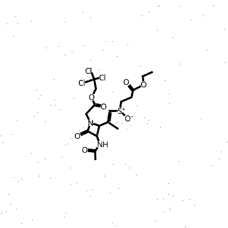 CCOC(=O)CC[S+]([O-])C=C(C)C1C(NC(C)=O)C(=O)N1CC(=O)OCC(Cl)(Cl)Cl